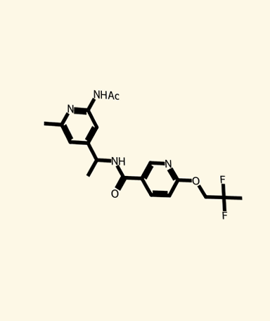 CC(=O)Nc1cc(C(C)NC(=O)c2ccc(OCC(C)(F)F)nc2)cc(C)n1